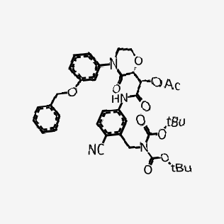 CC(=O)O[C@@H](C(=O)Nc1ccc(C#N)c(CN(C(=O)OC(C)(C)C)C(=O)OC(C)(C)C)c1)[C@H]1OCCN(c2cccc(OCc3ccccc3)c2)C1=O